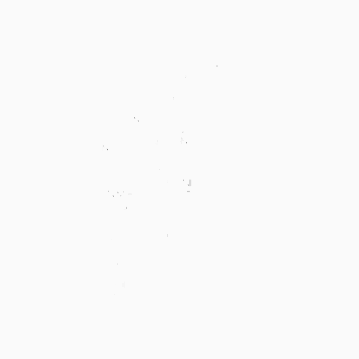 CNc1ncnc(Nc2cccc(Cl)c2)c1C(=N)c1ccc(O)cc1